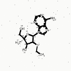 CCOC1C(n2cnc3c(N)ncnc32)O[C@](C)(CO)C1O